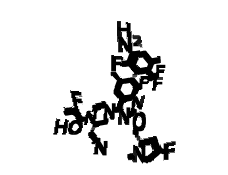 C=C(F)C(O)N1CCN(c2nc(OC[C@@H]3C[C@@H](F)CN3C)nc3c2C[C@@H](C)[C@H](c2c(F)c(N)cc(C)c2C(F)(F)F)C3)C[C@@H]1CC#N